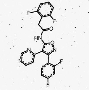 O=C(Cc1c(F)cccc1F)Nc1onc(-c2ccc(F)cc2F)c1-c1ccncn1